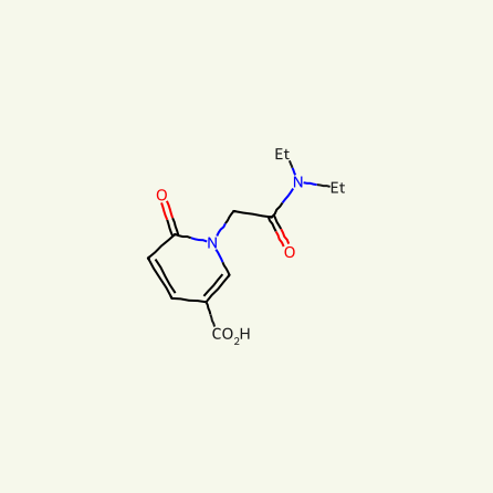 CCN(CC)C(=O)Cn1cc(C(=O)O)ccc1=O